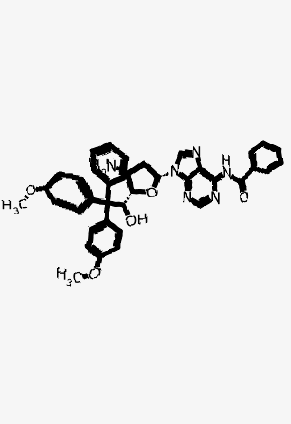 COc1ccc(C(c2ccccc2)(c2ccc(OC)cc2)C(O)[C@H]2O[C@@H](n3cnc4c(NC(=O)c5ccccc5)ncnc43)C[C@@H]2N)cc1